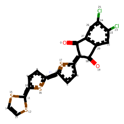 O=C1C(=c2cc/c(=c3/ccc(=C4SC=CS4)s3)s2)C(=O)c2cc(Cl)c(Cl)cc21